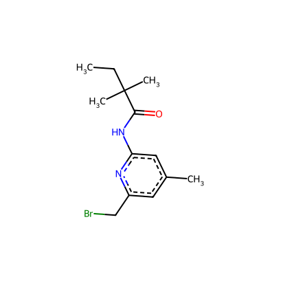 CCC(C)(C)C(=O)Nc1cc(C)cc(CBr)n1